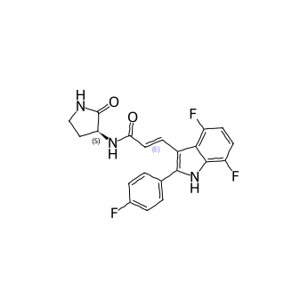 O=C(/C=C/c1c(-c2ccc(F)cc2)[nH]c2c(F)ccc(F)c12)N[C@H]1CCNC1=O